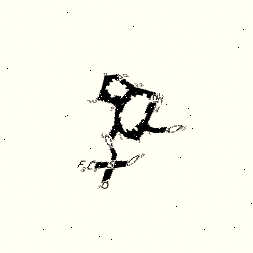 O=c1cc(OS(=O)(=O)C(F)(F)F)c2ccsc2[nH]1